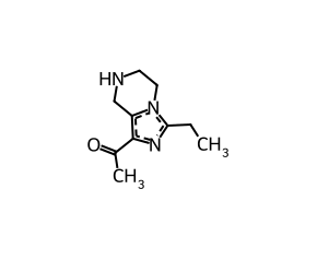 CCc1nc(C(C)=O)c2n1CCNC2